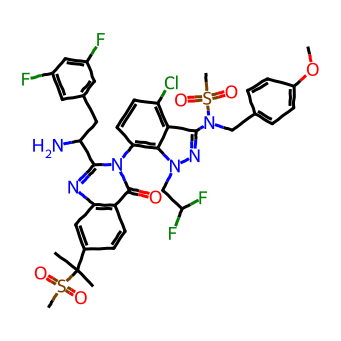 COc1ccc(CN(c2nn(CC(F)F)c3c(-n4c(C(N)Cc5cc(F)cc(F)c5)nc5cc(C(C)(C)S(C)(=O)=O)ccc5c4=O)ccc(Cl)c23)S(C)(=O)=O)cc1